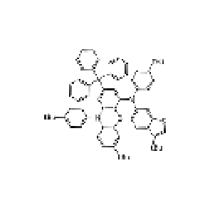 CC(C)(C)c1ccc(N2c3ccc(C(C)(C)C)cc3B3c4cc5c(C(C)(C)C)csc5cc4N(c4ccc(C(C)(C)C)cc4)c4cc(C(c5ccccc5)(c5ccccc5)c5ccccc5)cc2c43)cc1